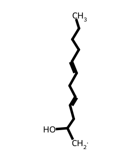 [CH2]C(O)CC=CCC=CCCCC